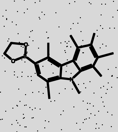 Cc1c(C)c(C)c2c(c1C)c1c(C)c(B3OCCO3)cc(C)c1n2C